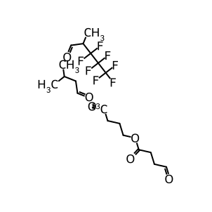 CC(C)CC=O.CC(C=O)C(F)(F)C(F)(F)C(F)(F)F.O=CCCC(=O)OCCC[13CH]=O